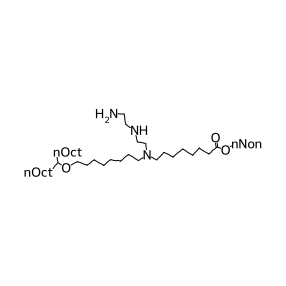 CCCCCCCCCOC(=O)CCCCCCCN(CCCCCCCCOC(CCCCCCCC)CCCCCCCC)CCNCCN